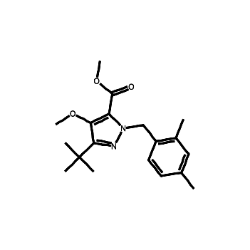 COC(=O)c1c(OC)c(C(C)(C)C)nn1Cc1ccc(C)cc1C